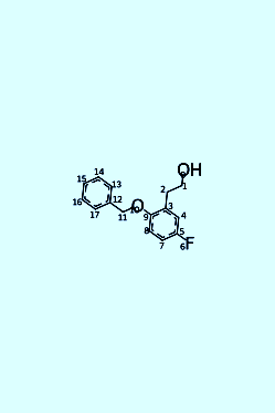 OCCc1cc(F)ccc1OCc1ccccc1